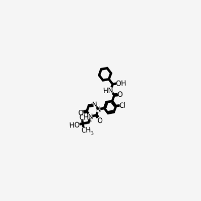 CC(C)(O)Cn1c(=O)cnn(-c2ccc(Cl)c(C(=O)NC(O)C3CCCCC3)c2)c1=O